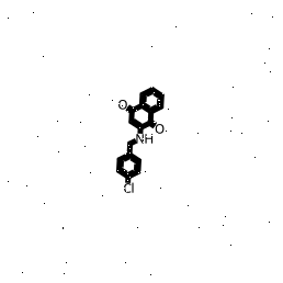 O=C1C=C(NCc2ccc(Cl)cc2)C(=O)c2ccccc21